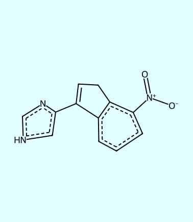 O=[N+]([O-])c1cccc2c1CC=C2c1c[nH]cn1